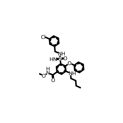 CCCCNc1cc(C(=O)NOC)cc(S(=N)(=O)NCc2cccc(Cl)c2)c1Oc1ccccc1